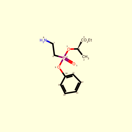 CCOC(=O)[C@@H](C)OP(=O)(CCN)Oc1ccccc1